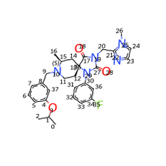 CC(C)Oc1cccc(CN2CC[C@@]3(C[C@@H]2C)C(=O)N(Cc2nccn2C)C(=O)N3c2cccc(F)c2)c1